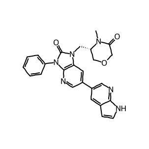 CN1C(=O)COC[C@@H]1Cn1c(=O)n(-c2ccccc2)c2ncc(-c3cnc4[nH]ccc4c3)cc21